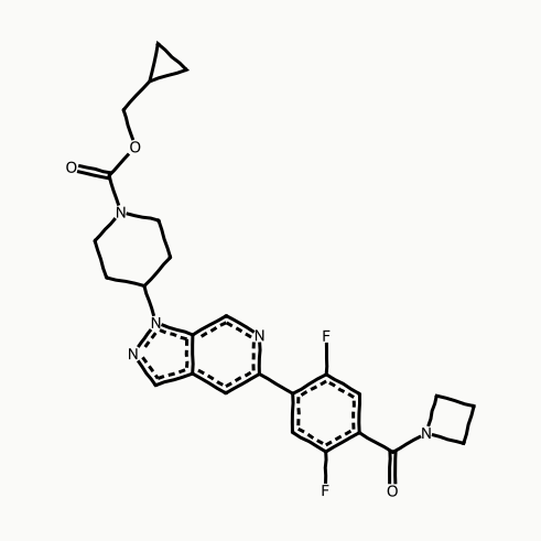 O=C(OCC1CC1)N1CCC(n2ncc3cc(-c4cc(F)c(C(=O)N5CCC5)cc4F)ncc32)CC1